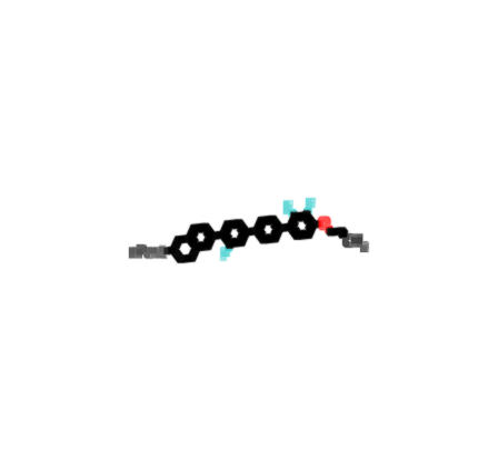 C=CCOc1ccc(-c2ccc(-c3ccc(-c4ccc5c(c4)CCC(CCCCC)C5)c(F)c3)cc2)c(F)c1F